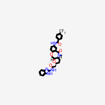 CN1C(=O)c2cc(NC(=O)c3ccc(C(F)(F)F)cc3)ccc2OC[C@@H]2O[C@H](CC(=O)Nc3nc4ccccc4[nH]3)CC[C@@H]21